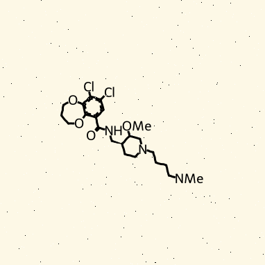 CNCCCCN1CC[C@@H](CNC(=O)c2cc(Cl)c(Cl)c3c2OCCCO3)C(OC)C1